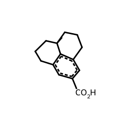 CC12CCCc3cc(C(=O)O)cc(c31)CCC2